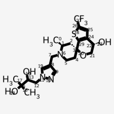 C[C@H]1C[C@@]2(CCN1Cc1cnn(CC(O)C(C)(C)O)c1)OC[C@@H](O)c1cc(C(F)(F)F)sc12